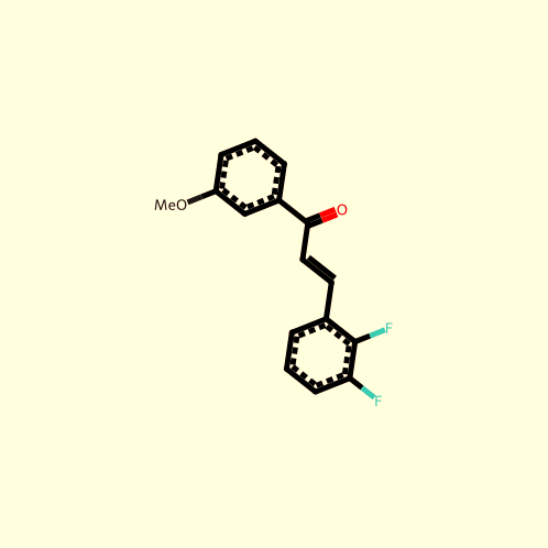 COc1cccc(C(=O)/C=C/c2cccc(F)c2F)c1